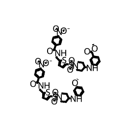 COC(=O)c1cccc(NC2CCN(S(=O)(=O)c3ccc(CNC(=O)c4ccc([N+](=O)[O-])cc4)s3)CC2)c1.COc1cccc(NC2CCN(S(=O)(=O)c3ccc(CNC(=O)c4ccc([N+](=O)[O-])cc4)s3)CC2)c1